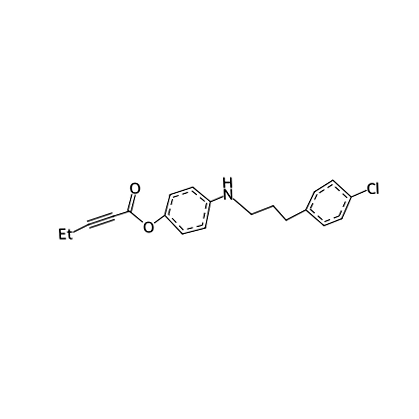 CCC#CC(=O)Oc1ccc(NCCCc2ccc(Cl)cc2)cc1